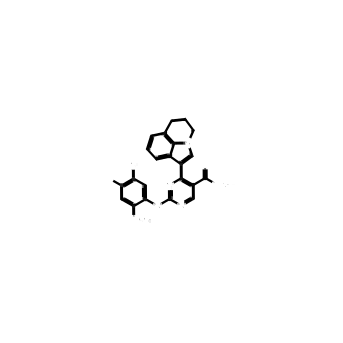 COC(=O)c1cnc(Nc2cc([N+](=O)[O-])c(F)cc2OC)nc1-c1cn2c3c(cccc13)CCC2